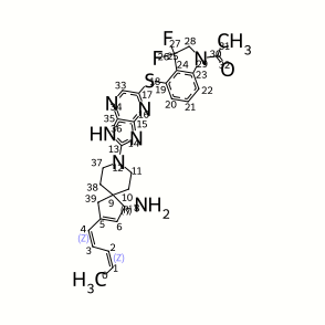 C/C=C\C=C/C1=C[C@@H](N)C2(CCN(c3nc4nc(Sc5cccc6c5C(F)(F)CN6C(C)=O)cnc4[nH]3)CC2)C1